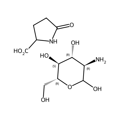 N[C@H]1C(O)O[C@H](CO)[C@@H](O)[C@@H]1O.O=C1CCC(C(=O)O)N1